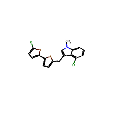 Cn1cc(Cc2ccc(-c3ccc(F)s3)s2)c2c(Cl)cccc21